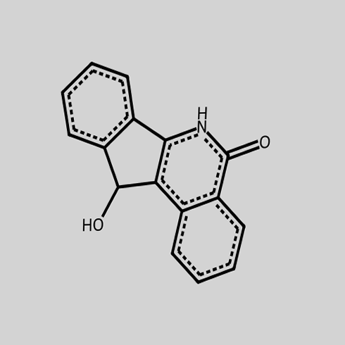 O=c1[nH]c2c(c3ccccc13)C(O)c1ccccc1-2